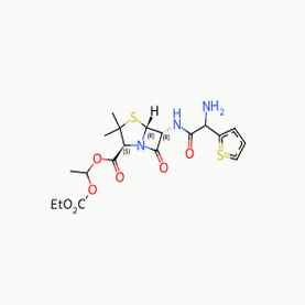 CCOC(=O)OC(C)OC(=O)[C@@H]1N2C(=O)[C@@H](NC(=O)C(N)c3cccs3)[C@H]2SC1(C)C